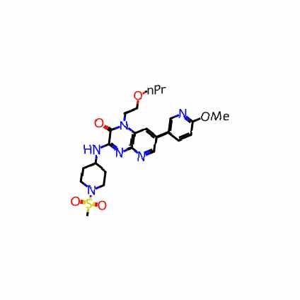 CCCOCCn1c(=O)c(NC2CCN(S(C)(=O)=O)CC2)nc2ncc(-c3ccc(OC)nc3)cc21